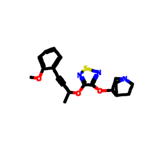 COc1ccccc1C#CC(C)Oc1nsnc1OC1CN2CCC1C2